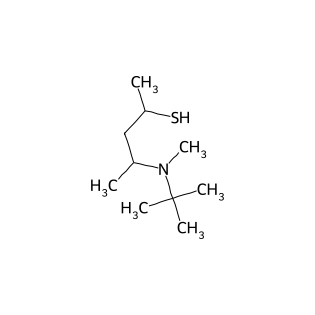 CC(S)CC(C)N(C)C(C)(C)C